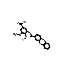 COc1cc(C(=O)O)cc(OC(=O)c2ccc3c(c2)Oc2ccccc2O3)c1OC